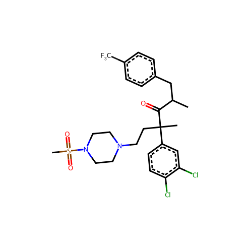 CC(Cc1ccc(C(F)(F)F)cc1)C(=O)C(C)(CCN1CCN(S(C)(=O)=O)CC1)c1ccc(Cl)c(Cl)c1